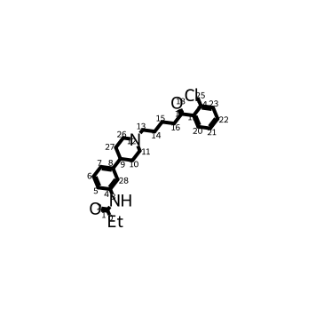 CCC(=O)Nc1cccc(C2CCN(CCCCC(=O)c3ccccc3Cl)CC2)c1